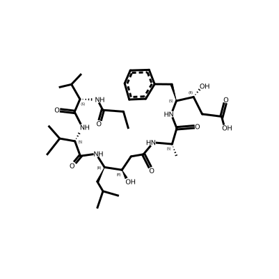 CCC(=O)N[C@H](C(=O)N[C@H](C(=O)N[C@H](CC(C)C)[C@H](O)CC(=O)N[C@@H](C)C(=O)N[C@@H](Cc1ccccc1)[C@H](O)CC(=O)O)C(C)C)C(C)C